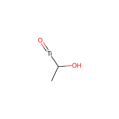 C[CH](O)[Ti]=[O]